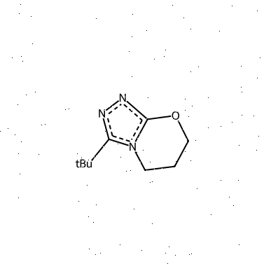 CC(C)(C)c1nnc2n1CCCO2